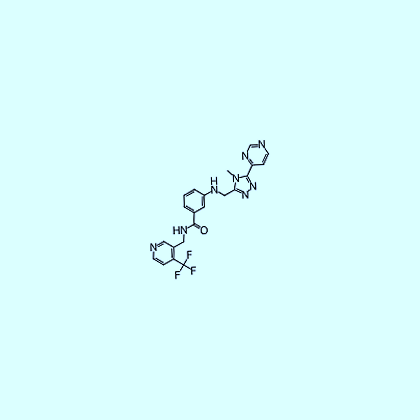 Cn1c(CNc2cccc(C(=O)NCc3cnccc3C(F)(F)F)c2)nnc1-c1ccncn1